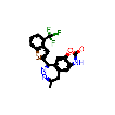 CC1=NN=C(c2cc3c(C(F)(F)F)cccc3s2)c2cc3oc(=O)[nH]c3cc2C1